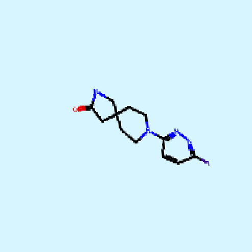 O=C1CC2(CCN(c3ccc(I)nn3)CC2)CN1